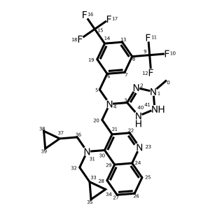 CN1N=C(N(Cc2cc(C(F)(F)F)cc(C(F)(F)F)c2)Cc2cnc3ccccc3c2N(CC2CC2)CC2CC2)NN1